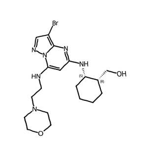 OC[C@@H]1CCCC[C@@H]1Nc1cc(NCCN2CCOCC2)n2ncc(Br)c2n1